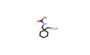 CC(C)(C)C(=O)NCC1(CC(=O)O)CCCCC1